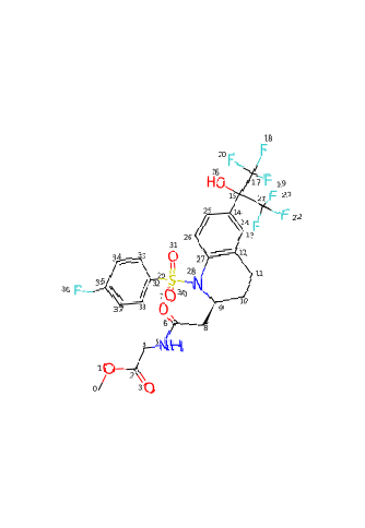 COC(=O)CNC(=O)C[C@@H]1CCc2cc(C(O)(C(F)(F)F)C(F)(F)F)ccc2N1S(=O)(=O)c1ccc(F)cc1